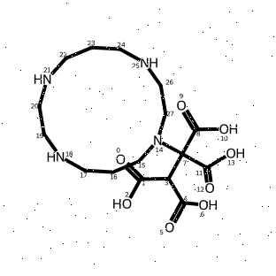 O=C(O)C(C(=O)O)C(C(=O)O)(C(=O)O)N1CCCNCCNCCCNCC1